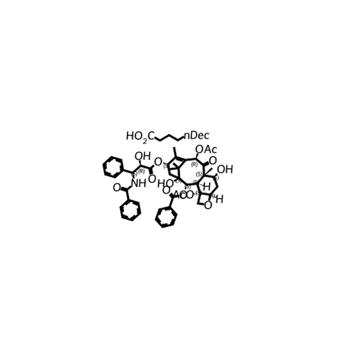 CC(=O)O[C@H]1C(=O)[C@@]2(C)[C@H]([C@H](OC(=O)c3ccccc3)[C@]3(O)C[C@H](OC(=O)[C@H](O)[C@@H](NC(=O)c4ccccc4)c4ccccc4)C(C)=C1C3(C)C)[C@]1(OC(C)=O)CO[C@@H]1C[C@@H]2O.CCCCCCCCCCCCCC(=O)O